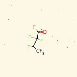 O=C(F)C(F)(F)C(F)C(F)(F)F